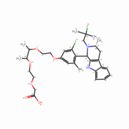 Bc1cc(OCCOC(C)C(C)OCCOCC(=O)O)cc(F)c1C1c2[nH]c3ccccc3c2C[C@@H](C)N1CC(C)(C)F